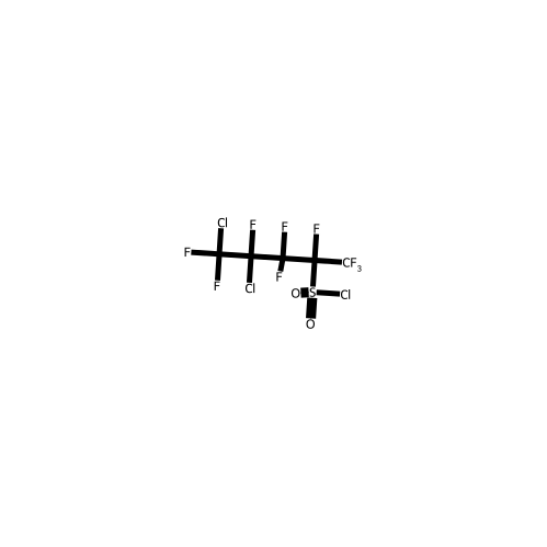 O=S(=O)(Cl)C(F)(C(F)(F)F)C(F)(F)C(F)(Cl)C(F)(F)Cl